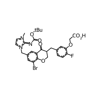 Cn1ccn(Cc2cc(Br)c3c(c2)C(=O)C(Cc2ccc(F)c(OCC(=O)O)c2)CO3)c1=NC(=O)OC(C)(C)C